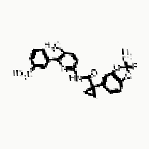 Cc1ccc(NC(=O)C2(c3ccc4c(c3)OC(C)(F)O4)CC2)nc1-c1cccc(C(=O)O)c1